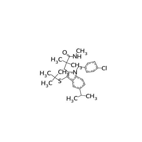 CNC(=O)C(C)(C)Cc1c(SC(C)(C)C)c2cc(C(C)C)ccc2n1Cc1ccc(Cl)cc1